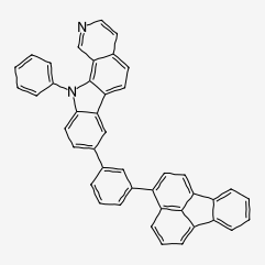 c1ccc(-n2c3ccc(-c4cccc(-c5ccc6c7c(cccc57)-c5ccccc5-6)c4)cc3c3ccc4ccncc4c32)cc1